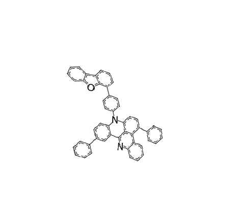 c1ccc(-c2ccc3c(c2)-c2nc4ccccc4c4c(-c5ccccc5)ccc(c24)N3c2ccc(-c3cccc4c3oc3ccccc34)cc2)cc1